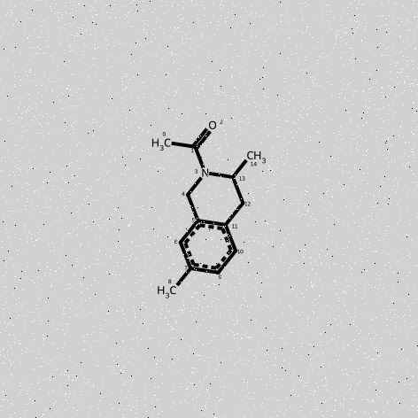 CC(=O)N1Cc2cc(C)ccc2CC1C